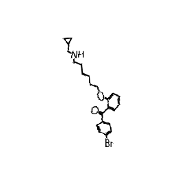 O=C(c1ccc(Br)cc1)c1ccccc1OCCCCCCNCC1CC1